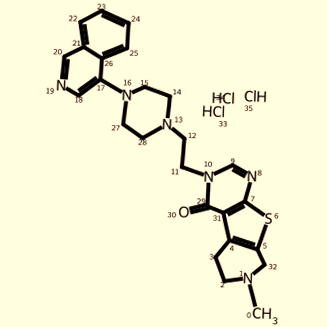 CN1CCc2c(sc3ncn(CCN4CCN(c5cncc6ccccc56)CC4)c(=O)c23)C1.Cl.Cl.Cl